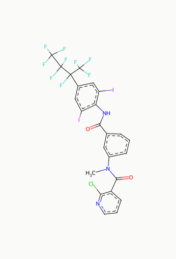 CN(C(=O)c1cccnc1Cl)c1cccc(C(=O)Nc2c(I)cc(C(F)(C(F)(F)F)C(F)(F)C(F)(F)F)cc2I)c1